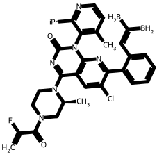 BC(B)=Cc1ccccc1-c1nc2c(cc1Cl)c(N1CCN(C(=O)C(=C)F)C[C@@H]1C)nc(=O)n2-c1c(C)ccnc1C(C)C